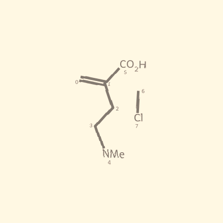 C=C(CCNC)C(=O)O.CCl